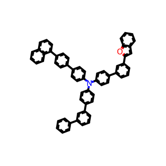 c1ccc(-c2cccc(-c3ccc(N(c4ccc(-c5ccc(-c6cccc7ccccc67)cc5)cc4)c4ccc(-c5cccc(-c6cc7ccccc7o6)c5)cc4)cc3)c2)cc1